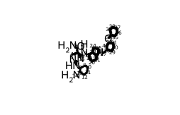 NC(=O)c1cnc(NC2CCCCC2N)nc1Nc1cccc2c1ccn2Cc1cccc(Oc2ccccc2)c1